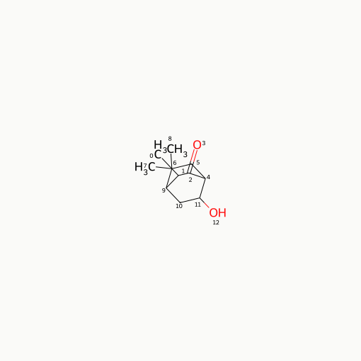 CC1C(=O)C2CC(C)(C)C1CC2O